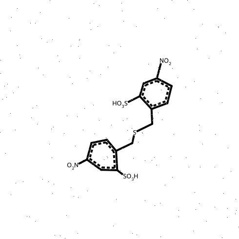 O=[N+]([O-])c1ccc(CSCc2ccc([N+](=O)[O-])cc2S(=O)(=O)O)c(S(=O)(=O)O)c1